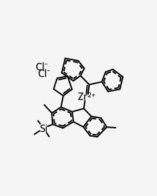 Cc1ccc2c(c1)[CH]([Zr+2]=[C](c1ccccc1)c1ccccc1)c1c-2cc([Si](C)(C)C)c(C)c1C1=CC=CC1.[Cl-].[Cl-]